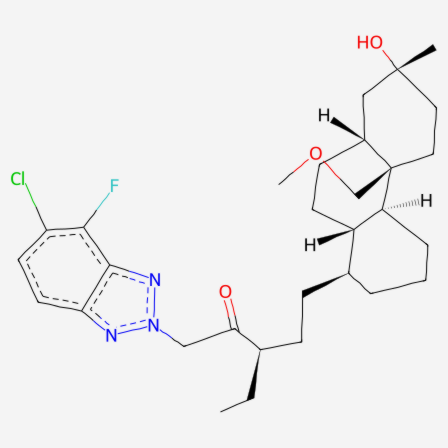 CC[C@H](CC[C@@H]1CCC[C@H]2[C@H]1CC[C@@H]1C[C@](C)(O)CC[C@@]12COC)C(=O)Cn1nc2ccc(Cl)c(F)c2n1